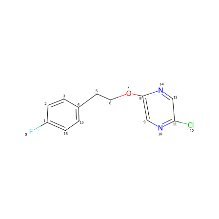 Fc1ccc(CCOc2cnc(Cl)cn2)cc1